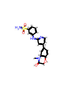 CN1C(=O)COc2ccc(-c3ccnc(Nc4cccc(S(N)(=O)=O)c4)c3)cc21